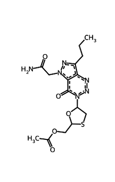 CCCc1nn(CC(N)=O)c2c(=O)n(C3CSC(COC(C)=O)O3)nnc12